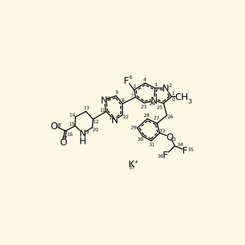 Cc1nc2cc(F)c(-c3cnc(C4CCC(C(=O)[O-])NC4)nc3)cn2c1Cc1ccccc1OC(F)F.[K+]